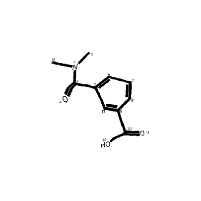 CN(C)C(=O)c1cccc(C(=O)O)c1